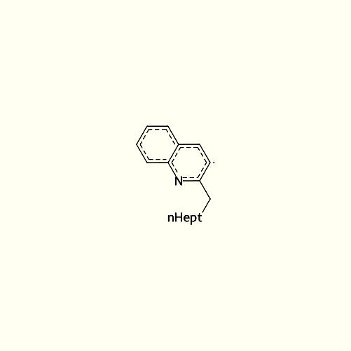 CCCCCCCCc1[c]cc2ccccc2n1